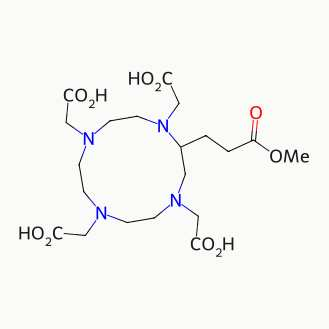 COC(=O)CCC1CN(CC(=O)O)CCN(CC(=O)O)CCN(CC(=O)O)CCN1CC(=O)O